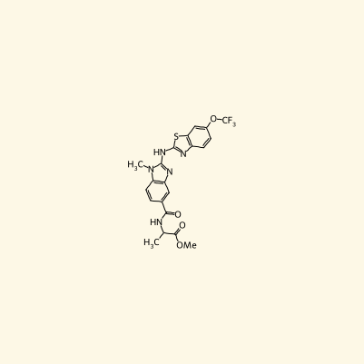 COC(=O)C(C)NC(=O)c1ccc2c(c1)nc(Nc1nc3ccc(OC(F)(F)F)cc3s1)n2C